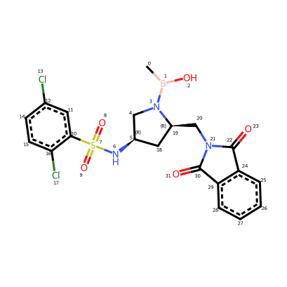 CB(O)N1C[C@H](NS(=O)(=O)c2cc(Cl)ccc2Cl)C[C@@H]1CN1C(=O)c2ccccc2C1=O